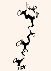 CC(C)C(=O)OCOC(=O)/C=C/C(=O)OCc1cc(=O)[nH]c(=O)[nH]1